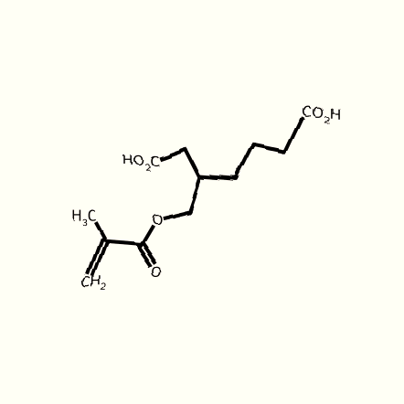 C=C(C)C(=O)OCC(CCCC(=O)O)CC(=O)O